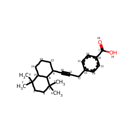 CC1(C)CCC(C)(C)C2C(C#CCc3ccc(C(=O)O)cc3)CCCC21